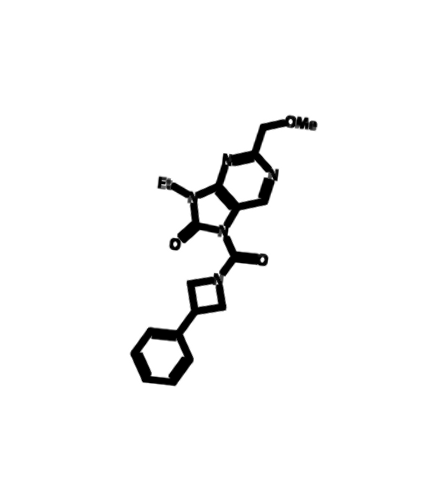 CCn1c(=O)n(C(=O)N2CC(c3ccccc3)C2)c2cnc(COC)nc21